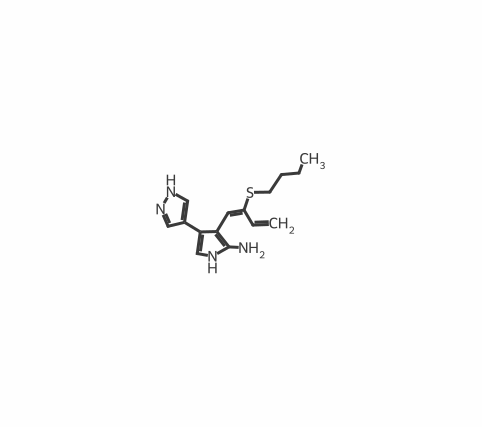 C=C/C(=C\c1c(-c2cn[nH]c2)c[nH]c1N)SCCCC